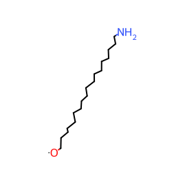 NCCCCCCCCCCCCCCCCCC[O]